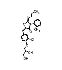 CCCN=C1OC(=Cc2ccc(OCC(O)CO)c(Cl)c2)C(=O)N1c1ccccc1C